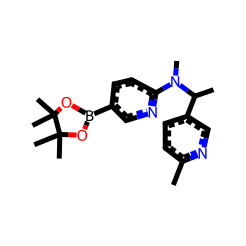 Cc1ccc(C(C)N(C)c2ccc(B3OC(C)(C)C(C)(C)O3)cn2)cn1